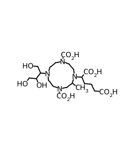 CC1CN(C(=O)O)CCN(C(CO)C(O)CO)CCN(C(=O)O)CCN1C(CCCC(=O)O)C(=O)O